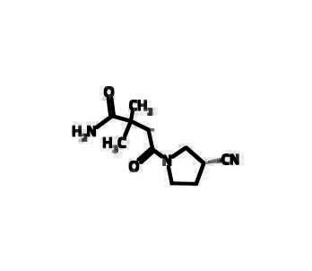 CC(C)([CH]C(=O)N1CC[C@@H](C#N)C1)C(N)=O